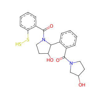 O=C(c1ccccc1C1C(O)CCN1C(=O)c1ccccc1SS)N1CCC(O)C1